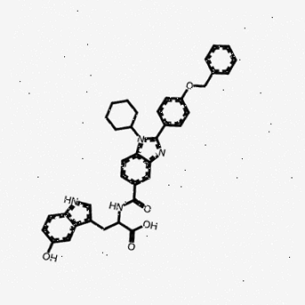 O=C(NC(Cc1c[nH]c2ccc(O)cc12)C(=O)O)c1ccc2c(c1)nc(-c1ccc(OCc3ccccc3)cc1)n2C1CCCCC1